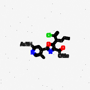 C=C/C=C(\C(=C)Cl)c1oc(-c2cc(NC(C)=O)ncc2C)nc1C(=O)OC